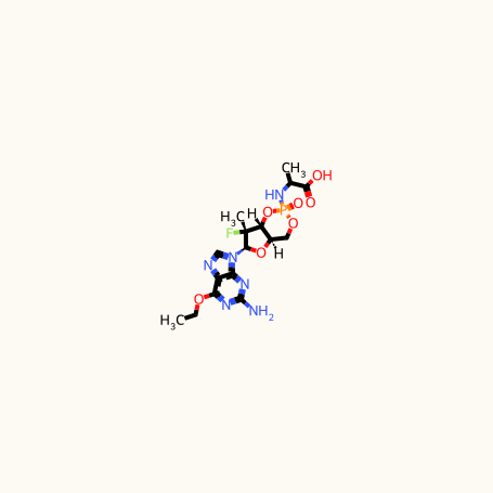 CCOc1nc(N)nc2c1ncn2[C@@H]1O[C@@H]2COP(=O)(NC(C)C(=O)O)O[C@H]2[C@@]1(C)F